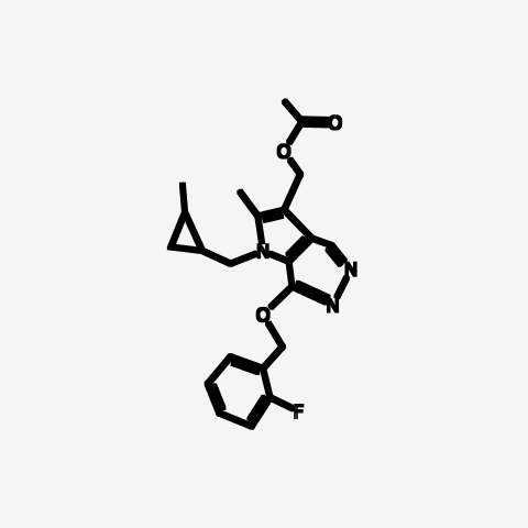 CC(=O)OCc1c(C)n(CC2CC2C)c2c(OCc3ccccc3F)nncc12